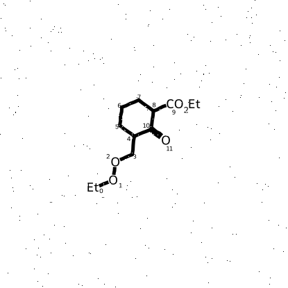 CCOOCC1CCCC(C(=O)OCC)C1=O